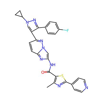 Cc1nc(-c2ccncc2)sc1C(=O)Nc1cn2nc(-c3cn(C4CC4)nc3-c3ccc(F)cc3)ccc2n1